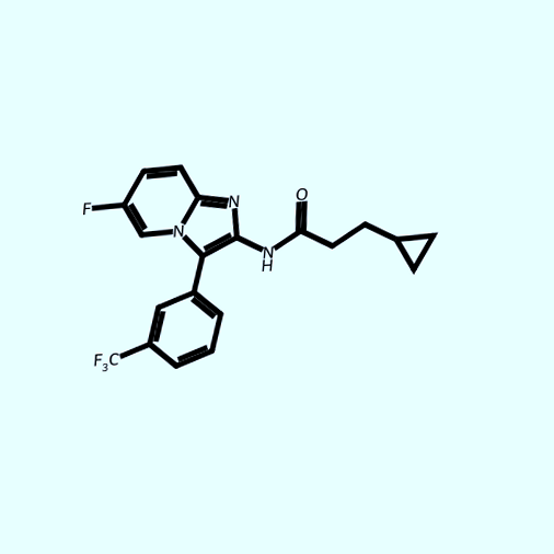 O=C(CCC1CC1)Nc1nc2ccc(F)cn2c1-c1cccc(C(F)(F)F)c1